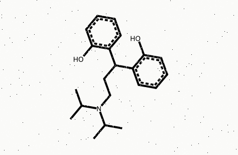 CC(C)N(CCC(c1ccccc1O)c1ccccc1O)C(C)C